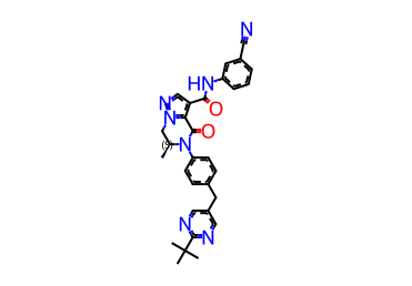 C[C@H]1Cn2ncc(C(=O)Nc3cccc(C#N)c3)c2C(=O)N1c1ccc(Cc2cnc(C(C)(C)C)nc2)cc1